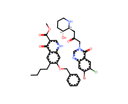 CCCCc1cc2c(=O)c(C(=O)OC)c[nH]c2cc1OCc1ccccc1.O=C(C[C@@H]1NCCC[C@H]1O)Cn1cnc2cc(Br)c(Cl)cc2c1=O